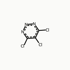 Clc1nnnc(Cl)c1Cl